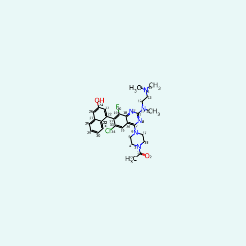 CC(=O)N1CCN(c2nc(N(C)CCN(C)C)nc3c(F)c(-c4cc(O)cc5ccccc45)c(Cl)cc23)CC1